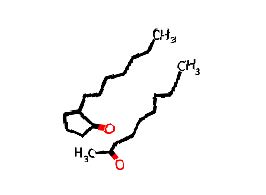 CCCCCCCC(C)=O.CCCCCCCC1CCCC1=O